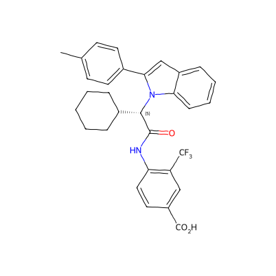 Cc1ccc(-c2cc3ccccc3n2[C@H](C(=O)Nc2ccc(C(=O)O)cc2C(F)(F)F)C2CCCCC2)cc1